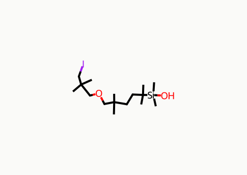 CC(C)(CI)COCC(C)(C)CCC(C)(C)[Si](C)(C)O